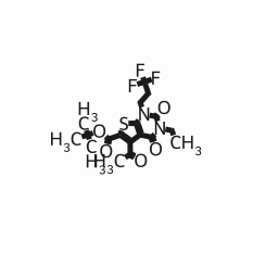 CCn1c(=O)c2c(C(C)=O)c(C(=O)OC(C)(C)C)sc2n(CCC(F)(F)F)c1=O